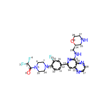 O=C(C(F)F)N1CCN(c2ccc(-c3cc4nccnc4c(NC[C@@H]4CNCCO4)n3)cc2F)CC1